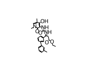 CCOC(=O)C[C@H](NC(=O)Nc1c(O)c(C)cn(C)c1=O)c1cccc(-c2cccc(C)c2)c1